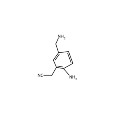 N#CCc1cc(CN)ccc1N